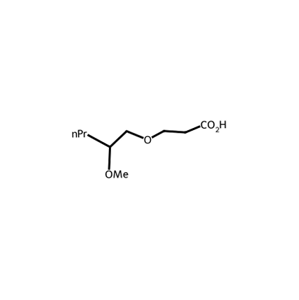 CCCC(COCCC(=O)O)OC